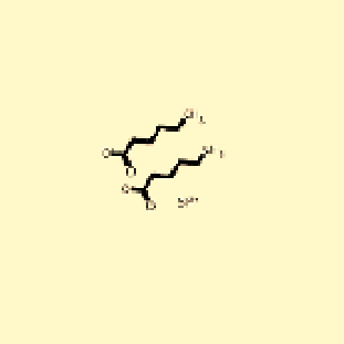 CCCCCC(=O)[O-].CCCCCC(=O)[O-].[Sr+2]